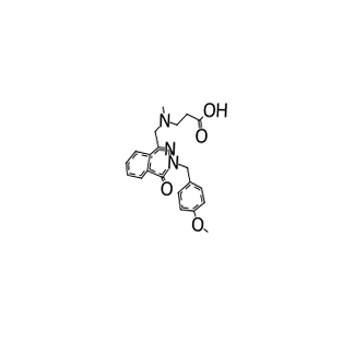 COc1ccc(Cn2nc(CN(C)CCC(=O)O)c3ccccc3c2=O)cc1